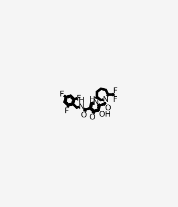 O=C(NCc1c(F)cc(F)cc1F)c1cn2c(c(O)c1=O)C(=O)N1C[C@@H]2CCCC1C(F)F